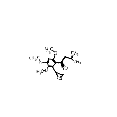 COc1cc(OC)c(C(=O)CC(C)C)c(C2CO2)c1OC